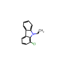 C=Cn1c2ccccc2c2cccc(Cl)c21